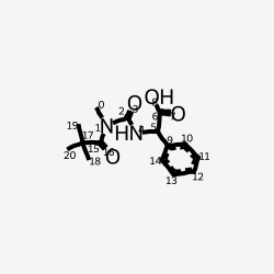 CN(C(=O)NC(C(=O)O)c1ccccc1)C(=O)C(C)(C)C